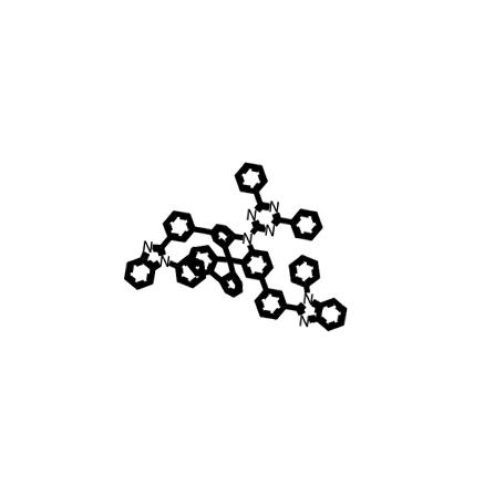 c1ccc(-c2nc(-c3ccccc3)nc(N3c4ccc(-c5cccc(-c6nc7ccccc7n6-c6ccccc6)c5)cc4C4(c5ccccc5-c5ccccc54)c4cc(-c5cccc(-c6nc7ccccc7n6-c6ccccc6)c5)ccc43)n2)cc1